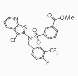 COC(=O)c1cccc(S(=O)(=O)N(Cc2ccc(F)c(C(F)(F)F)c2)c2sc3ncccc3c2Cl)c1